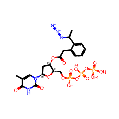 Cc1cn([C@H]2C[C@@H](OC(=O)Cc3ccccc3C(C)N=[N+]=[N-])[C@@H](COP(=O)(O)OP(=O)(O)OP(=O)(O)O)O2)c(=O)[nH]c1=O